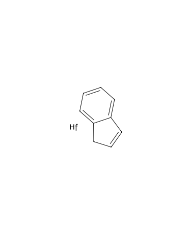 C1=Cc2ccccc2C1.[Hf]